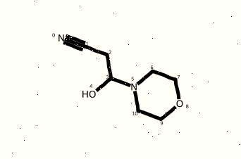 N#CCC(O)N1CCOCC1